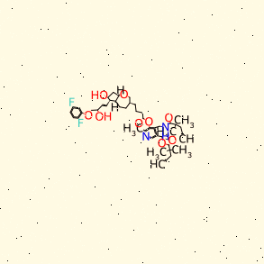 C#CCC(C)(C)C(=O)NCc1c(COC(=O)C(C)(C)CC#C)cnc(C)c1OC(=O)CCC[C@H]1CC[C@@H]2[C@@H](/C=C/[C@@H](O)COc3cc(F)ccc3F)[C@H](O)C[C@@H]2OC1